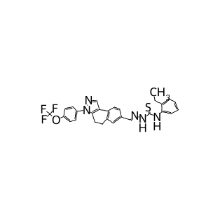 CCc1ccccc1NC(=S)N/N=C/c1ccc2c(c1)CCc1c-2cnn1-c1ccc(OC(F)(F)F)cc1